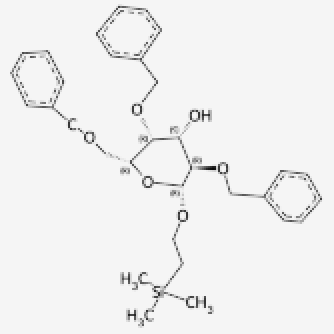 C[Si](C)(C)CCO[C@@H]1O[C@H](COCc2ccccc2)[C@H](OCc2ccccc2)[C@H](O)[C@H]1OCc1ccccc1